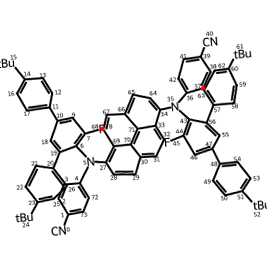 [C-]#[N+]c1ccc(N(c2c(F)cc(-c3ccc(C(C)(C)C)cc3)cc2-c2ccc(C(C)(C)C)cc2)c2ccc3ccc4c(N(c5ccc(C#N)cc5)c5c(F)cc(-c6ccc(C(C)(C)C)cc6)cc5-c5ccc(C(C)(C)C)cc5)ccc5ccc2c3c54)cc1